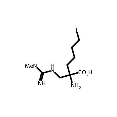 CNC(=N)NCC(N)(CCCCI)C(=O)O